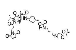 CC(C)[C@H](NC(=O)CCN1C(=O)C=CC1=O)C(=O)N[C@@H](C)C(=O)Nc1ccc(COC(=O)NCCCCN(C)CC(=O)OC(C)(C)C)cc1